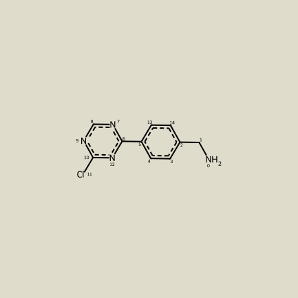 NCc1ccc(-c2ncnc(Cl)n2)cc1